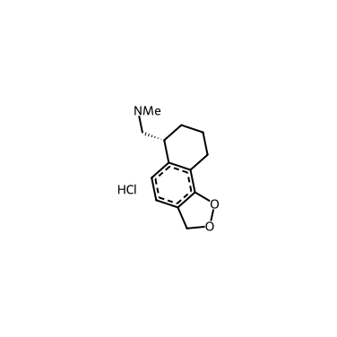 CNC[C@@H]1CCCc2c1ccc1c2OOC1.Cl